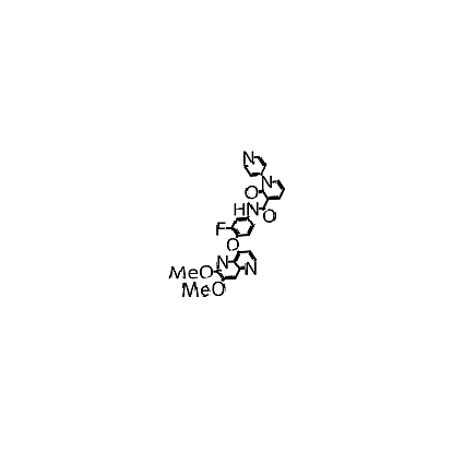 COc1cc2nccc(Oc3ccc(NC(=O)c4cccn(-c5ccncc5)c4=O)cc3F)c2nc1OC